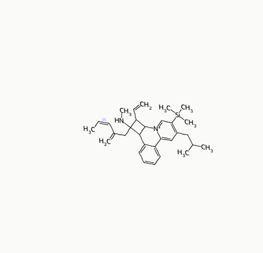 C=CC1C2C(c3ccccc3-c3cc(CC(C)C)c([Si](C)(C)C)c[n+]32)C1(CC(=C)/C=C\C)NC